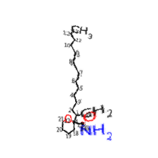 [CH2]C(CCCCCCCCCCCC)C1(C(N)=O)CCCCO1